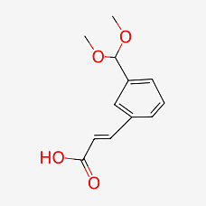 COC(OC)c1cccc(C=CC(=O)O)c1